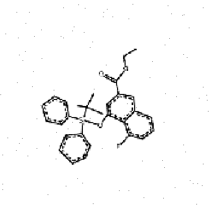 CCOC(=O)c1cc(O[Si](c2ccccc2)(c2ccccc2)C(C)(C)C)c2c(F)cccc2c1